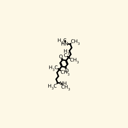 CNC(C)CCCC(C)(C)C1=CC(=O)C(C(C)(C)CCCC(C)NC)=CC1=O